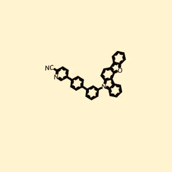 N#Cc1ccc(-c2ccc(-c3cccc(-n4c5ccccc5c5c6oc7ccccc7c6ccc54)c3)cc2)cn1